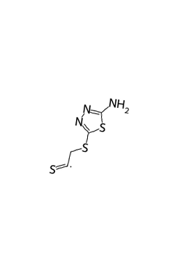 Nc1nnc(SC[C]=S)s1